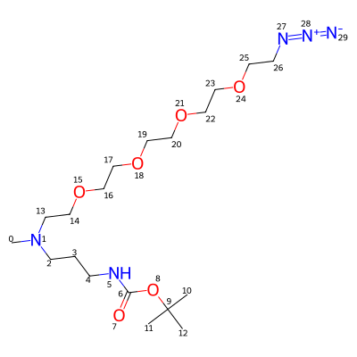 CN(CCCNC(=O)OC(C)(C)C)CCOCCOCCOCCOCCN=[N+]=[N-]